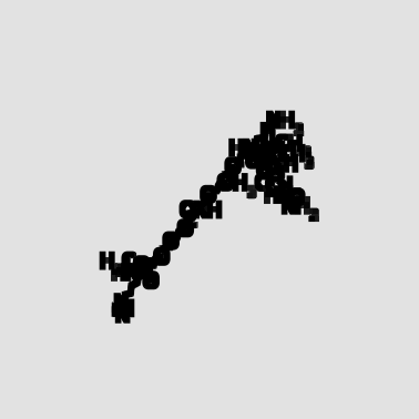 CC(=O)NC(CCCCn1ccnn1)C(=O)NCCOCCOCCOCCC(=O)NCCOCCOCCOCCC(=O)NC(CCCCN)C(=O)NC(C(=O)NC(CCCNC(N)=O)C(=O)C(C)C)C(C)C